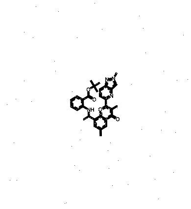 Cc1cc(C(C)Nc2ccccc2C(=O)OC(C)(C)C)c2oc(-c3ccc4nn(C)cc4n3)c(C)c(=O)c2c1